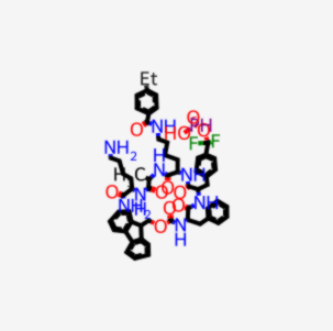 CCc1ccc(C(=O)NCCCCC(NC(=O)C(Cc2ccc(C(F)(F)O[PH](=O)O)cc2)NC(=O)C(Cc2ccccc2)NC(=O)OCC2c3ccccc3-c3ccccc32)C(=O)NC(C)C(=O)NC(CCCCN)C(N)=O)cc1